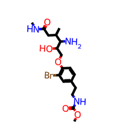 CNC(=O)CC(C)C(N)C(O)COc1ccc(CCNC(=O)OC)cc1Br